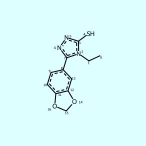 CCn1c(S)nnc1-c1ccc2c(c1)OCO2